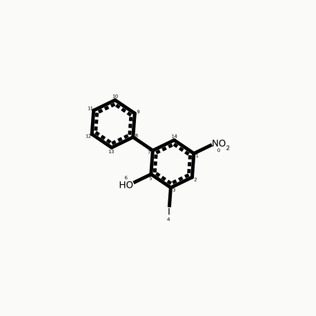 O=[N+]([O-])c1cc(I)c(O)c(-c2ccccc2)c1